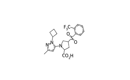 Cc1cc(N2CC(S(=O)(=O)c3ccccc3C(F)(F)F)CC2C(=O)O)n(C2CCC2)n1